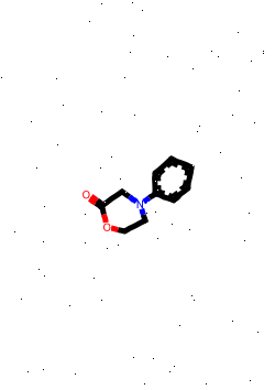 O=C1CN(c2ccccc2)CCO1